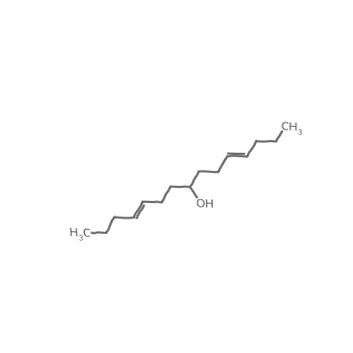 CCCC=CCCC(O)CCC=CCCC